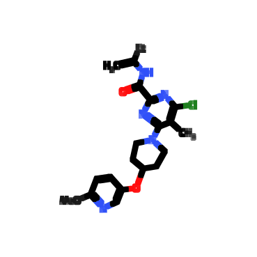 C=C(CC)NC(=O)c1nc(Cl)c(C)c(N2CCC(Oc3ccc(OC)nc3)CC2)n1